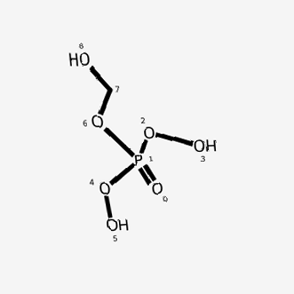 O=P(OO)(OO)OCO